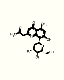 CC(=O)Cc1cc(=O)c2c(C)cc(O)c([C@H]3C[C@@H](O)[C@H](O)[C@@H](CO)O3)c2o1